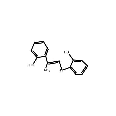 N/C(=C\Nc1ccccc1O)c1ccccc1N